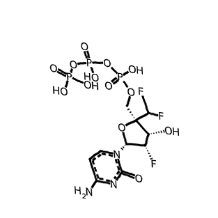 Nc1ccn([C@@H]2O[C@@](COP(=O)(O)OP(=O)(O)OP(=O)(O)O)(C(F)F)[C@H](O)[C@@H]2F)c(=O)n1